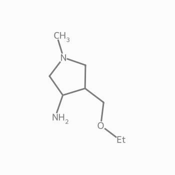 CCOCC1CN(C)CC1N